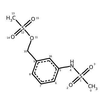 CS(=O)(=O)Nc1cccc(COS(C)(=O)=O)c1